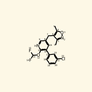 Cc1noc(C)c1Cc1cnc(OC(F)F)c(-c2cccc(Cl)c2)c1